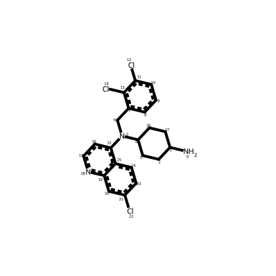 NC1CCC(N(Cc2cccc(Cl)c2Cl)c2ccnc3cc(Cl)ccc23)CC1